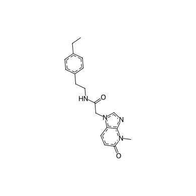 CCc1ccc(CCNC(=O)Cn2cnc3c2ccc(=O)n3C)cc1